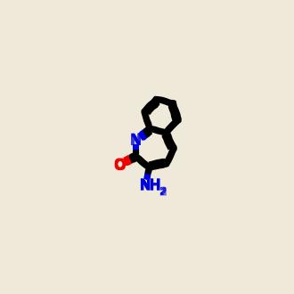 Nc1ccc2ccccc2nc1=O